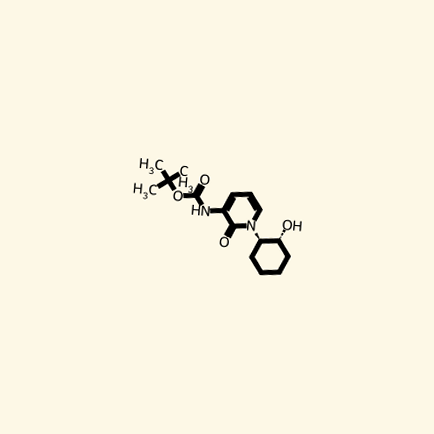 CC(C)(C)OC(=O)Nc1cccn([C@H]2CCCC[C@H]2O)c1=O